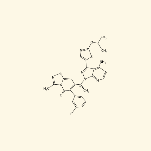 Cc1csc2cc([C@H](C)n3nc(-c4cnc(OC(C)C)s4)c4c(N)ncnc43)c(-c3cccc(F)c3)c(=O)n12